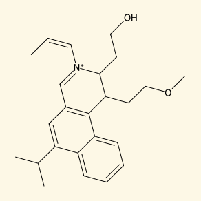 C/C=C\[N+]1=Cc2cc(C(C)C)c3ccccc3c2C(CCOC)C1CCO